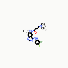 Cc1cc2ncnc(Nc3ccc(F)c(Cl)c3)c2cc1NC(=O)/C=C/CN(C)C